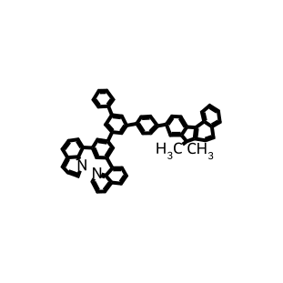 CC1(C)c2cc(-c3ccc(-c4cc(-c5ccccc5)cc(-c5cc(-c6cccc7cccnc67)cc(-c6cccc7cccnc67)c5)c4)cc3)ccc2-c2c1ccc1ccccc21